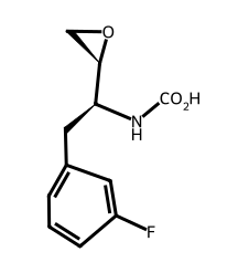 O=C(O)N[C@@H](Cc1cccc(F)c1)[C@H]1CO1